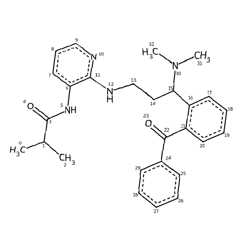 CC(C)C(=O)Nc1cccnc1NCCC(c1ccccc1C(=O)c1ccccc1)N(C)C